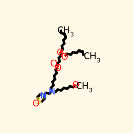 CC/C=C\CCCCOC(CCC(=O)OCCCCCCCN(CCCCCCCOC)CCN1CC[S+]([O-])CC1)OCCCC/C=C\CC